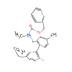 Cc1ccc(-c2cc(CC(=O)O)ccc2F)c(CN(C)C(=O)OCc2ccccc2)c1